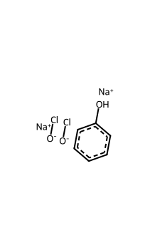 Oc1ccccc1.[Na+].[Na+].[O-]Cl.[O-]Cl